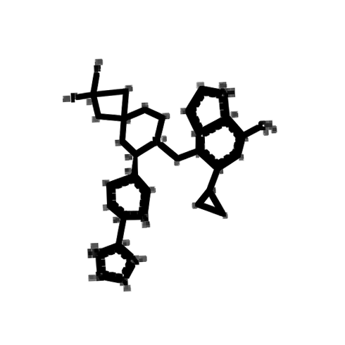 Cc1cc(C2CC2)c(CN2CCC3(C[C@@H]2c2ccc(-c4nnn[nH]4)nc2)CC(F)(F)C3)c2cc[nH]c12